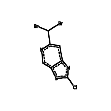 Clc1nc2cc(C(Br)Br)ncc2s1